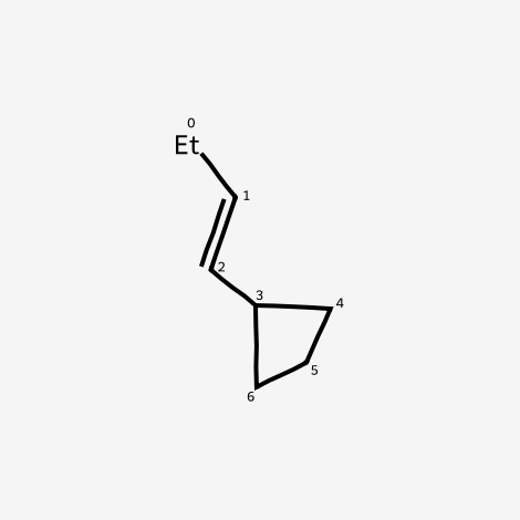 CCC=CC1CCC1